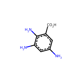 Nc1cc(N)c(N)c(C(=O)O)c1